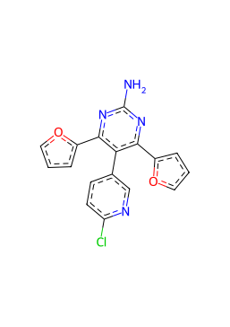 Nc1nc(-c2ccco2)c(-c2ccc(Cl)nc2)c(-c2ccco2)n1